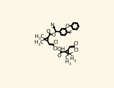 CC1(C)C(C=C(Cl)Cl)C1C(=O)O.CC1(C)C(C=C(Cl)Cl)C1C(=O)OC(C#N)c1ccc(F)c(Oc2ccccc2)c1